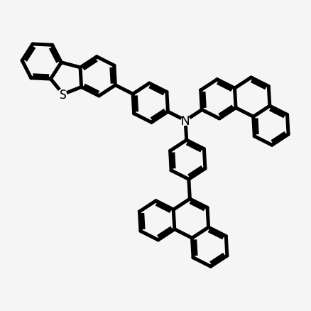 c1ccc2c(c1)ccc1ccc(N(c3ccc(-c4ccc5c(c4)sc4ccccc45)cc3)c3ccc(-c4cc5ccccc5c5ccccc45)cc3)cc12